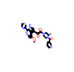 COc1cnc(-c2cnccn2)c2[nH]cc(C(=O)C(=O)N3CCN(C(=O)c4cccnc4)[C@H](C)C3)c12